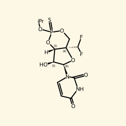 CC(C)OP1(=S)OC[C@@]2(C(F)F)O[C@@H](n3ccc(=O)[nH]c3=O)[C@@H](O)[C@@H]2O1